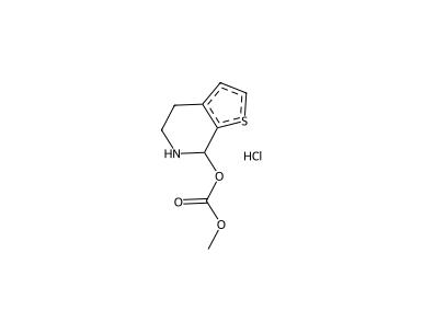 COC(=O)OC1NCCc2ccsc21.Cl